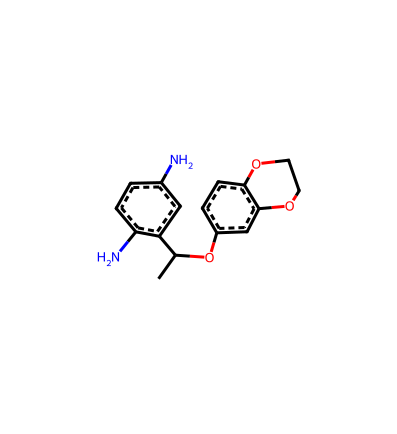 CC(Oc1ccc2c(c1)OCCO2)c1cc(N)ccc1N